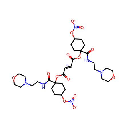 O=C(/C=C/C(=O)OC1(C(=O)NCCN2CCOCC2)CCC(O[N+](=O)[O-])CC1)OC1(C(=O)NCCN2CCOCC2)CCC(O[N+](=O)[O-])CC1